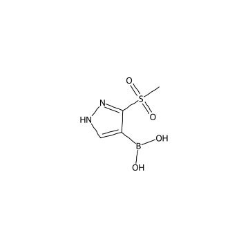 CS(=O)(=O)c1n[nH]cc1B(O)O